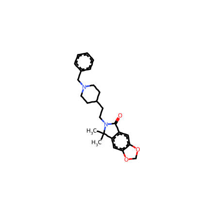 CC1(C)c2cc3c(cc2C(=O)N1CCC1CCN(Cc2ccccc2)CC1)OCO3